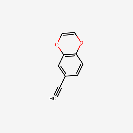 C#Cc1[c]c2c(cc1)OC=CO2